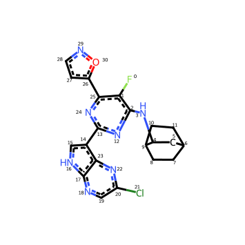 Fc1c(NC2CC3CCC2CC3)nc(-c2c[nH]c3ncc(Cl)nc23)nc1-c1ccno1